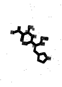 CCNC(=O)[C@@H](C)NC(O)[C@H](CC1CCNC1)NC=O